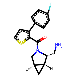 NC[C@@H]1[C@H]2C[C@H]2CN1C(=O)c1sccc1-c1ccc(F)cc1